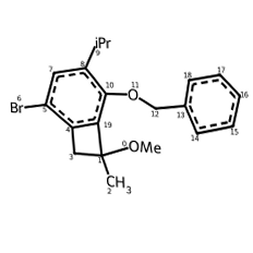 COC1(C)Cc2c(Br)cc(C(C)C)c(OCc3ccccc3)c21